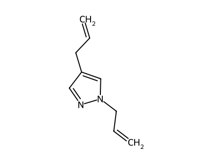 C=CCc1cnn(CC=C)c1